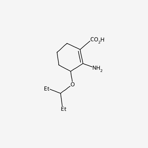 CCC(CC)OC1CCCC(C(=O)O)=C1N